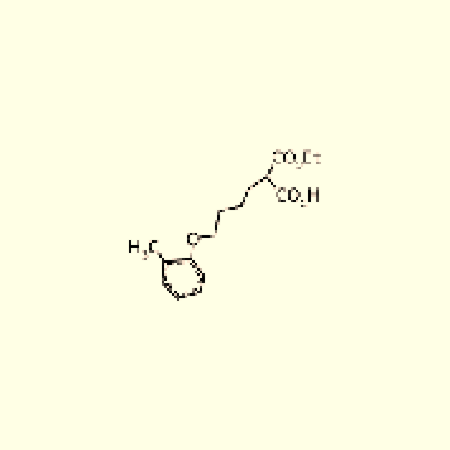 CCOC(=O)C(CCCCOc1ccccc1C)C(=O)O